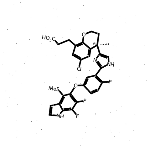 CSc1c(Oc2ccc(F)c(-c3nc([C@]4(C)CCOc5c(CCC(=O)O)cc(Cl)cc54)c[nH]3)c2)c(F)c(F)c2[nH]ccc12